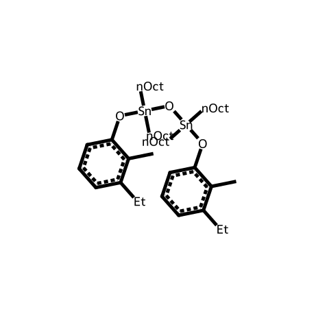 CCCCCCC[CH2][Sn]([CH2]CCCCCCC)([O]c1cccc(CC)c1C)[O][Sn]([CH2]CCCCCCC)([CH2]CCCCCCC)[O]c1cccc(CC)c1C